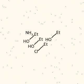 CCCl.CCO.CCO.CCO.N